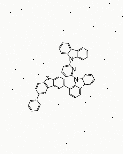 C1=CC2c3cccc(-c4ccc5sc6ccc(-c7ccccc7)cc6c5c4)c3N(c3cccc(-n4c5ccccc5c5ccccc54)n3)C2C=C1